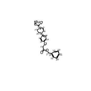 CC(C)(C)OC(=O)N1CCN(c2ccc(OCC(=O)OCc3ccccc3)cn2)CC1